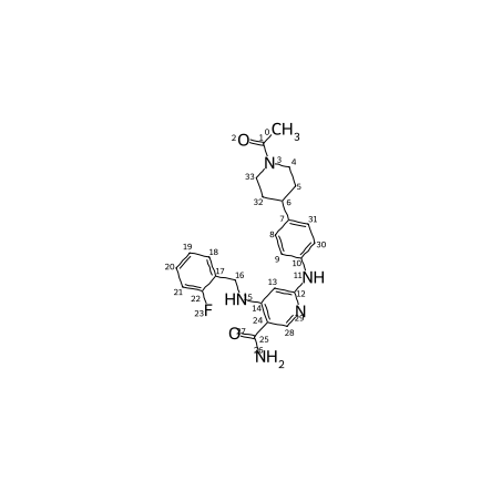 CC(=O)N1CCC(c2ccc(Nc3cc(NCc4ccccc4F)c(C(N)=O)cn3)cc2)CC1